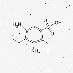 CCc1c(N)cc(S(=O)(=O)O)c(CC)c1N